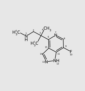 CNCC(C)(C)c1ncc(F)c2[nH]ncc12